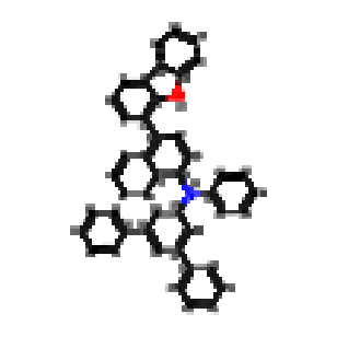 C1=Cc2c(-c3cccc4c3oc3ccccc34)ccc(N(c3ccccc3)c3cc(-c4ccccc4)cc(-c4ccccc4)c3)c2CC1